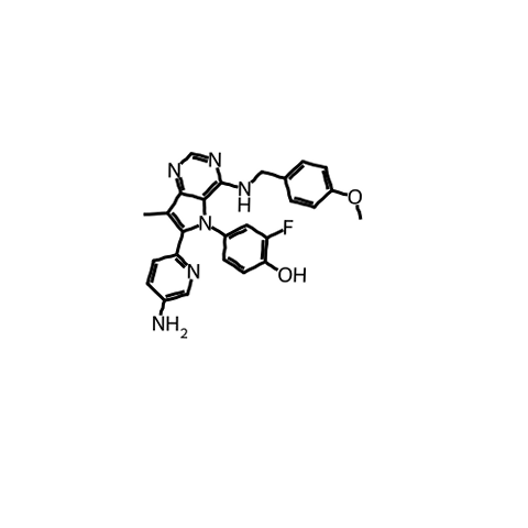 COc1ccc(CNc2ncnc3c(C)c(-c4ccc(N)cn4)n(-c4ccc(O)c(F)c4)c23)cc1